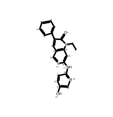 CCn1c(=O)c(-c2ccccc2)cc2cnc(Nc3ccc(O)cn3)cc21